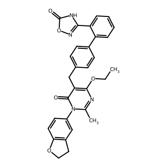 CCOc1nc(C)n(-c2ccc3c(c2)CCO3)c(=O)c1Cc1ccc(-c2ccccc2-c2noc(=O)[nH]2)cc1